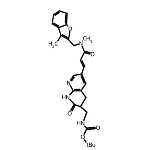 Cc1c(CN(C)C(=O)/C=C/c2cnc3c(c2)CC(CNC(=O)OC(C)(C)C)C(=O)N3)oc2ccccc12